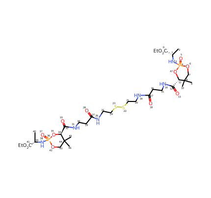 CCOC(=O)[C@H](C)NP1(=O)OCC(C)(C)[C@H](C(=O)NCCC(=O)NCCSSCCNC(=O)CCNC(=O)[C@@H]2OP(=O)(N[C@@H](C)C(=O)OCC)OCC2(C)C)O1